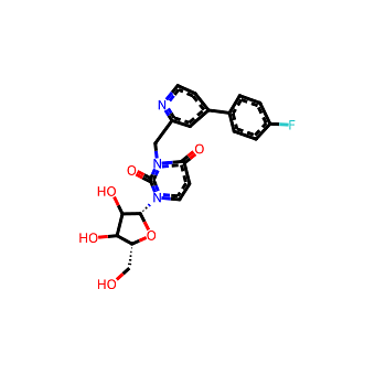 O=c1ccn([C@@H]2O[C@H](CO)C(O)C2O)c(=O)n1Cc1cc(-c2ccc(F)cc2)ccn1